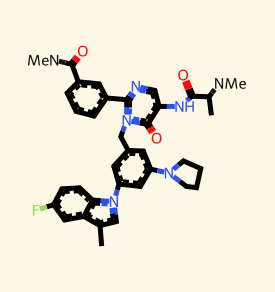 CNC(=O)c1cccc(-c2ncc(NC(=O)C(C)NC)c(=O)n2Cc2cc(N3CCCC3)cc(-n3cc(C)c4cc(F)ccc43)c2)c1